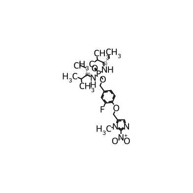 CC[C@H](NP(=O)(N[C@@H](CCl)C(C)C)OCc1ccc(OCc2cnc([N+](=O)[O-])n2C)c(F)c1)C(C)C